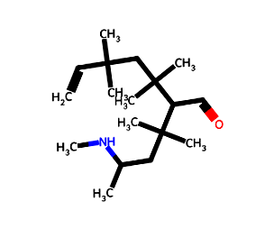 C=CC(C)(C)CC(C)(C)C(C=O)C(C)(C)CC(C)NC